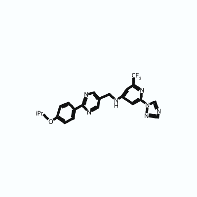 CC(C)Oc1ccc(-c2ncc(CNc3cc(-n4cncn4)nc(C(F)(F)F)c3)cn2)cc1